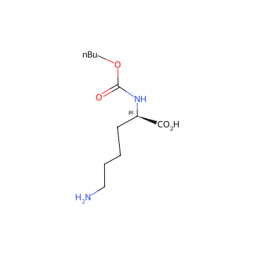 CCCCOC(=O)N[C@H](CCCCN)C(=O)O